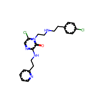 O=c1c(NCCc2ccccn2)ncc(Cl)n1CCNCCc1ccc(Cl)cc1